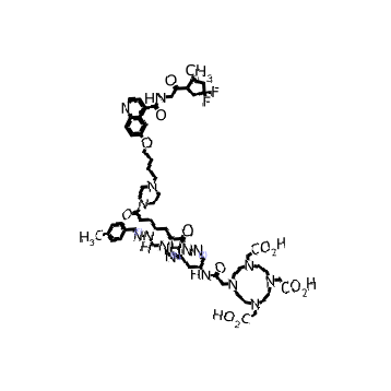 Cc1ccc(/C=N/NCN/N=C/CC(/C=N\NC(=O)CCCCCC(=O)N2CCN(CCCCOc3ccc4nccc(C(=O)NCC(=O)C5CC(F)(F)C[C@@H]5C)c4c3)CC2)NC(=O)CN2CCN(CC(=O)O)CCN(CC(=O)O)CCN(CC(=O)O)CC2)cc1